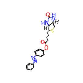 O=C1N[C@H]2[C@H](CS[C@H]2CCCCC(=O)Oc2ccc(/N=N/c3ccccc3)cc2)N1